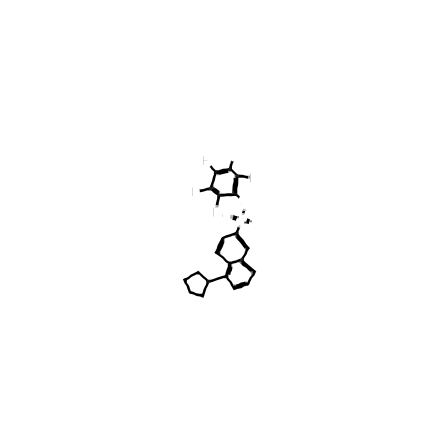 O=S(=O)(Oc1c(F)c(F)c(F)c(F)c1F)c1ccc2c(C3CCCC3)cccc2c1